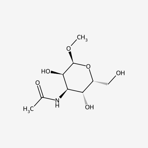 CO[C@H]1O[C@H](CO)[C@H](O)[C@@H](NC(C)=O)[C@H]1O